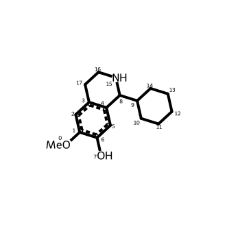 COc1cc2c(cc1O)C(C1CCCCC1)NCC2